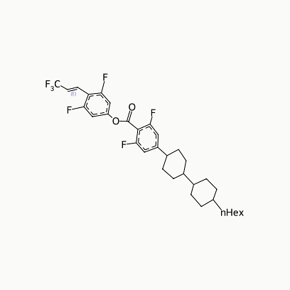 CCCCCCC1CCC(C2CCC(c3cc(F)c(C(=O)Oc4cc(F)c(/C=C/C(F)(F)F)c(F)c4)c(F)c3)CC2)CC1